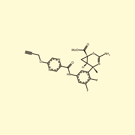 C#CCOc1cnc(C(=O)Nc2cc(F)c(F)c([C@@]3(C)N=C(N)S[C@@]4(C(=O)OC)C[C@H]43)c2)cn1